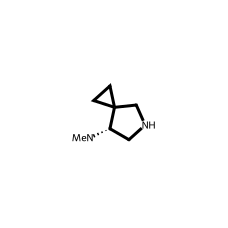 CN[C@H]1CNCC12CC2